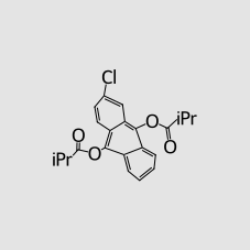 CC(C)C(=O)Oc1c2ccccc2c(OC(=O)C(C)C)c2cc(Cl)ccc12